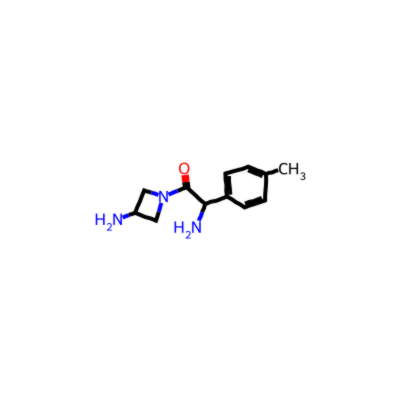 Cc1ccc(C(N)C(=O)N2CC(N)C2)cc1